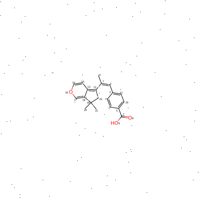 C/C(=C/c1ccc(C(=O)O)cc1)C1=C2C=COC=C2C(C)(C)C1